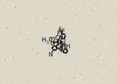 COC(=O)C1=C(C)N(c2cccc(C(F)(F)F)c2)c2n[nH]c(=O)n2C1c1ccc(C#N)cc1CC[n+]1ccccc1